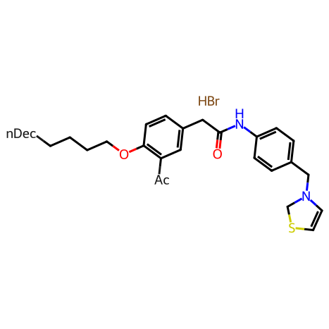 Br.CCCCCCCCCCCCCCOc1ccc(CC(=O)Nc2ccc(CN3C=CSC3)cc2)cc1C(C)=O